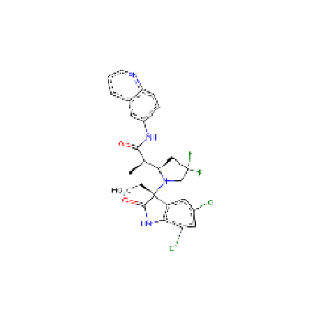 C[C@@H](C(=O)Nc1ccc2ncccc2c1)[C@H]1CC(F)(F)CN1[C@@]1(CC(=O)O)C(=O)Nc2c(Cl)cc(Cl)cc21